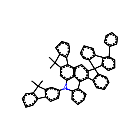 CC1(C)c2ccccc2-c2ccc(N(c3ccc4c(c3)C(C)(C)c3ccccc3-4)c3ccccc3-c3cccc4c3-c3ccccc3C43c4ccccc4-c4c(-c5ccccc5)cccc43)cc21